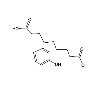 O=C(O)CCCCCCCC(=O)O.Oc1ccccc1